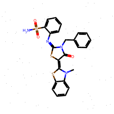 CN1C(=C2SC(=Nc3ccccc3S(N)(=O)=O)N(Cc3ccccc3)C2=O)Sc2ccccc21